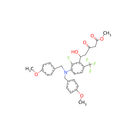 COC(=O)CC(=O)CC(O)c1c(C(F)(F)F)ccc(N(Cc2ccc(OC)cc2)Cc2ccc(OC)cc2)c1F